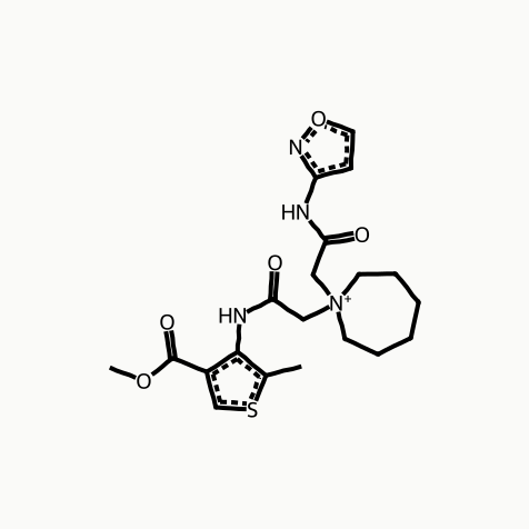 COC(=O)c1csc(C)c1NC(=O)C[N+]1(CC(=O)Nc2ccon2)CCCCCC1